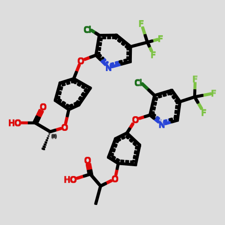 CC(Oc1ccc(Oc2ncc(C(F)(F)F)cc2Cl)cc1)C(=O)O.C[C@@H](Oc1ccc(Oc2ncc(C(F)(F)F)cc2Cl)cc1)C(=O)O